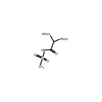 CCCCCC(CCCCC)C(=O)NS(C)(=O)=O